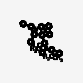 CC1(C)c2ccccc2-c2ccc(N3c4ccccc4C(C)(C)c4cc(-c5ccc6c(c5)C5(c7ccccc7-c7ccccc75)c5cccc(-n7c8ccc(-c9ccccc9)cc8c8cc(-c9ccccc9)ccc87)c5-6)ccc43)cc21